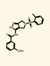 COc1cccc(C(=O)Nc2[nH]nc3c2CN(S(=O)(=O)c2ccccc2C)C3)c1